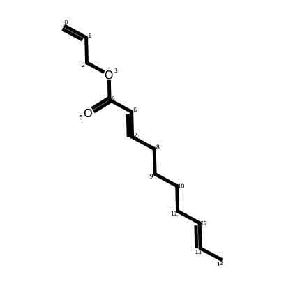 C=CCOC(=O)C=CCCCCC=CC